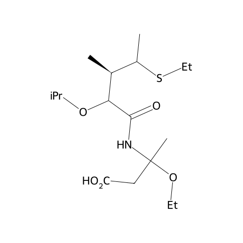 CCOC(C)(CC(=O)O)NC(=O)C(OC(C)C)[C@@H](C)C(C)SCC